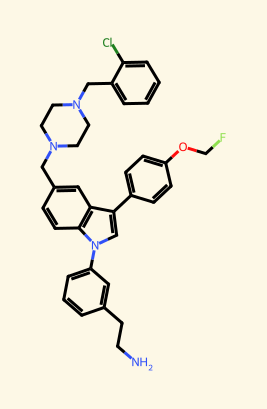 NCCc1cccc(-n2cc(-c3ccc(OCF)cc3)c3cc(CN4CCN(Cc5ccccc5Cl)CC4)ccc32)c1